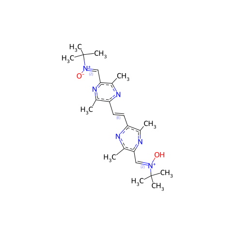 Cc1nc(/C=C/c2nc(C)c(/C=[N+](\O)C(C)(C)C)nc2C)c(C)nc1/C=[N+](\[O-])C(C)(C)C